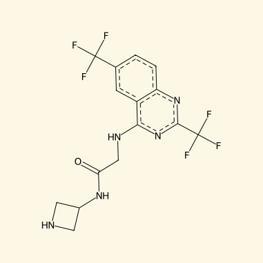 O=C(CNc1nc(C(F)(F)F)nc2ccc(C(F)(F)F)cc12)NC1CNC1